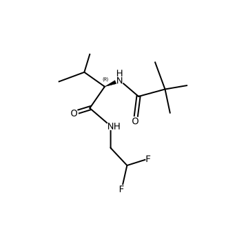 CC(C)[C@@H](NC(=O)C(C)(C)C)C(=O)NCC(F)F